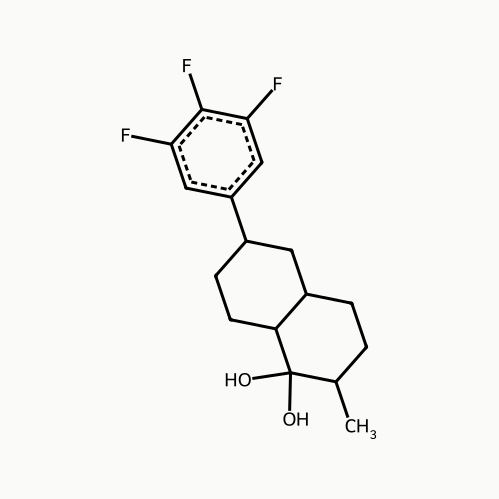 CC1CCC2CC(c3cc(F)c(F)c(F)c3)CCC2C1(O)O